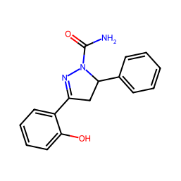 NC(=O)N1N=C(c2ccccc2O)CC1c1ccccc1